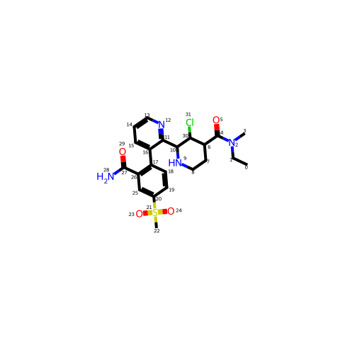 CCN(C)C(=O)C1CCNC(c2ncccc2-c2ccc(S(C)(=O)=O)cc2C(N)=O)C1Cl